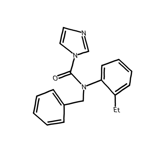 CCc1ccccc1N(Cc1ccccc1)C(=O)n1ccnc1